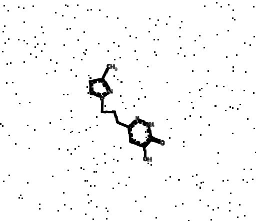 Cc1ccn(CCCc2cc(O)c(=O)[nH]n2)n1